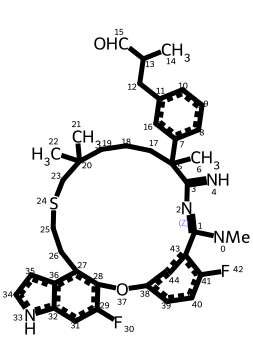 CN/C1=N\C(=N)C(C)(c2cccc(CC(C)C=O)c2)CCCC(C)(C)CSCCc2c(c(F)cc3[nH]ccc23)Oc2ccc(F)c1c2